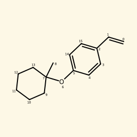 C=Cc1ccc(OC2(C)CCCCC2)cc1